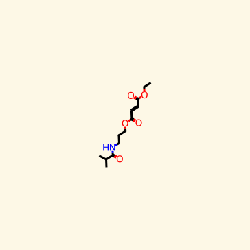 CCOC(=O)/C=C/C(=O)OCCCNC(=O)C(C)C